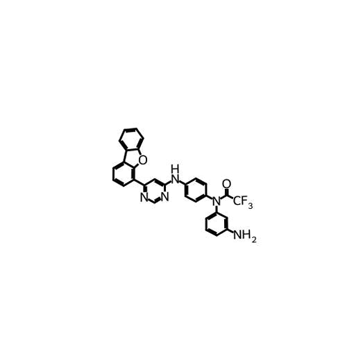 Nc1cccc(N(C(=O)C(F)(F)F)c2ccc(Nc3cc(-c4cccc5c4oc4ccccc45)ncn3)cc2)c1